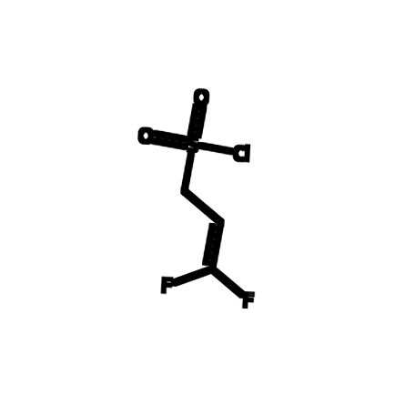 O=S(=O)(Cl)CC=C(F)F